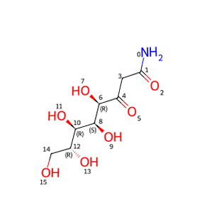 NC(=O)CC(=O)[C@H](O)[C@@H](O)[C@H](O)[C@H](O)CO